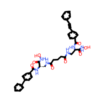 O=C(CCCC(=O)NC[C@H](NC(=O)c1ccc(-c2ccccc2)cc1)C(=O)NO)NCC(NC(=O)c1ccc(C#Cc2ccccc2)cc1)C(=O)NO